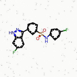 O=S(=O)(Nc1ccc(F)cc1)c1cccc(-c2n[nH]c3cc(F)ccc23)c1